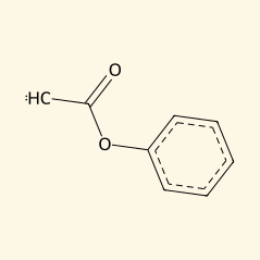 [CH]C(=O)Oc1ccccc1